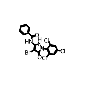 O=C(Nc1[nH]n(-c2c(Cl)cc(Cl)cc2Cl)c(=O)c1Br)c1ccccc1